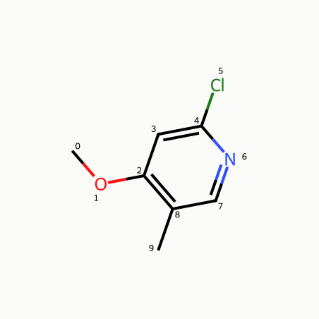 COc1cc(Cl)ncc1C